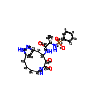 CC(C)C(NS(=O)(=O)c1ccccc1)C(=O)NC1Cc2cc([nH]n2)CCCCNC(=O)C1=O